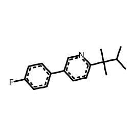 CC(C)C(C)(C)c1ccc(-c2ccc(F)cc2)cn1